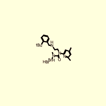 Br.Br.Cc1cc(C)nc(N(CCNCc2ccccc2C(C)(C)C)C(=O)N(C)C)c1